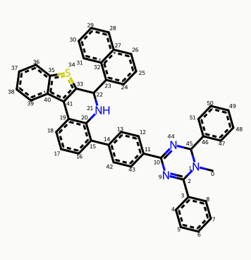 CN1C(c2ccccc2)=NC(c2ccc(-c3cccc4c3NC(c3cccc5ccccc35)c3sc5ccccc5c3-4)cc2)=NC1c1ccccc1